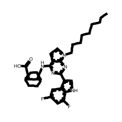 CCCCCCCCCn1ccc2c(NC3C4CCC(CC4)C3C(=O)O)nc(-c3c[nH]c4c(F)cc(F)cc34)nc21